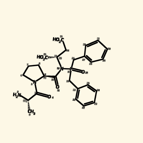 C[C@H](N)C(=O)N1CCC[C@H]1C(=O)N([C@@H](CC(=O)O)C(=O)O)P(=O)(Cc1ccccc1)Cc1ccccc1